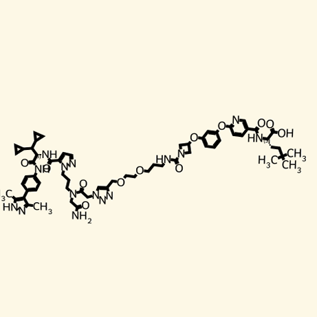 Cc1n[nH]c(C)c1-c1ccc(NC(=O)[C@@H](NC(=O)c2ccnn2CCCN(CC(N)=O)C(=O)Cn2cc(COCCOCCCNC(=O)N3CC(Oc4cccc(Oc5ccc(C(=O)N[C@@H](CCC(C)(C)C)C(=O)O)cn5)c4)C3)nn2)C(C2CC2)C2CC2)cc1